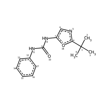 CC(C)(C)c1ncc(NC(=O)Nc2ccccc2)o1